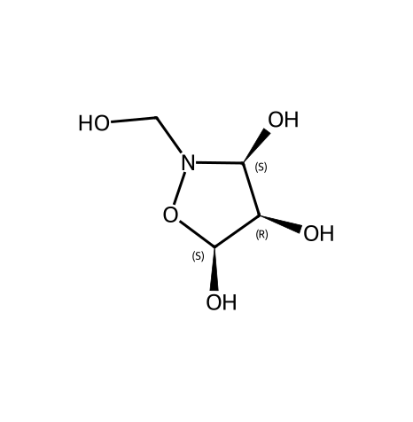 OCN1O[C@H](O)[C@H](O)[C@@H]1O